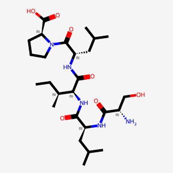 CC[C@H](C)[C@H](NC(=O)[C@H](CC(C)C)NC(=O)[C@@H](N)CO)C(=O)N[C@@H](CC(C)C)C(=O)N1CCC[C@H]1C(=O)O